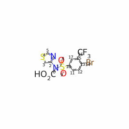 O=C(O)N(c1cscn1)S(=O)(=O)c1ccc(Br)c(C(F)(F)F)c1